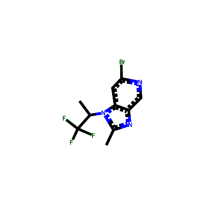 Cc1nc2cnc(Br)cc2n1C(C)C(F)(F)F